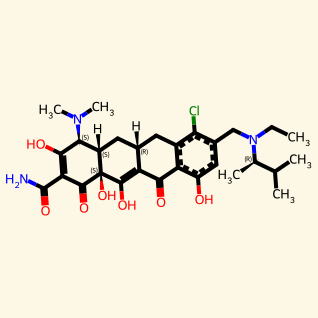 CCN(Cc1cc(O)c2c(c1Cl)C[C@H]1C[C@H]3[C@H](N(C)C)C(O)=C(C(N)=O)C(=O)[C@@]3(O)C(O)=C1C2=O)[C@H](C)C(C)C